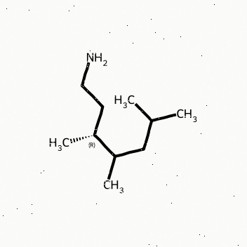 CC(C)CC(C)[C@H](C)CCN